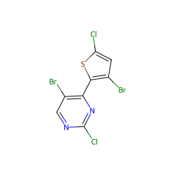 Clc1ncc(Br)c(-c2sc(Cl)cc2Br)n1